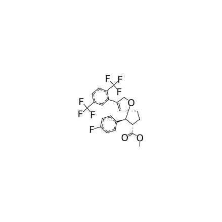 COC(=O)[C@H]1CC[C@@]2(C=C(c3cc(C(F)(F)F)ccc3C(F)(F)F)CO2)[C@@H]1c1ccc(F)cc1